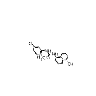 Cc1ccc(Cl)cc1NC(=O)Nc1cccc2c(O)cccc12